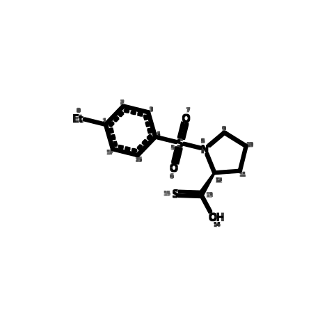 CCc1ccc(S(=O)(=O)N2CCC[C@H]2C(O)=S)cc1